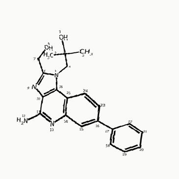 CC(C)(O)Cn1c(CO)nc2c(N)nc3cc(-c4ccccc4)ccc3c21